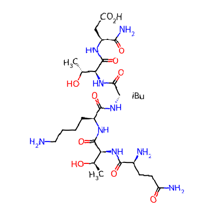 CC[C@H](C)[C@H](NC(=O)[C@H](CCCCN)NC(=O)[C@@H](NC(=O)[C@@H](N)CCC(N)=O)[C@@H](C)O)C(=O)N[C@H](C(=O)N[C@@H](CC(=O)O)C(N)=O)[C@@H](C)O